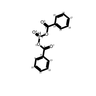 O=C(O[PH](=O)OC(=O)c1ccccc1)c1ccccc1